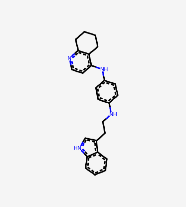 c1ccc2c(CCNc3ccc(Nc4ccnc5c4CCCC5)cc3)c[nH]c2c1